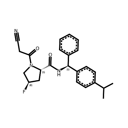 CC(C)c1ccc([C@@H](NC(=O)[C@@H]2C[C@@H](F)CN2C(=O)CC#N)c2ccccc2)cc1